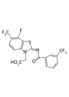 O=C(O)Cn1c(=NC(=O)c2cccc(C(F)(F)F)c2)sc2c(F)c(C(F)(F)F)ccc21